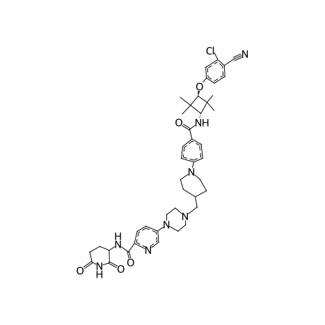 CC1(C)[C@H](NC(=O)c2ccc(N3CCC(CN4CCN(c5ccc(C(=O)NC6CCC(=O)NC6=O)nc5)CC4)CC3)cc2)C(C)(C)[C@H]1Oc1ccc(C#N)c(Cl)c1